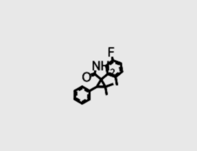 Cc1ccc(F)cc1C1(C(N)=O)C(c2ccccc2)C1(C)C